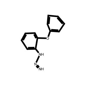 N=NNc1ccccc1Oc1ccccc1